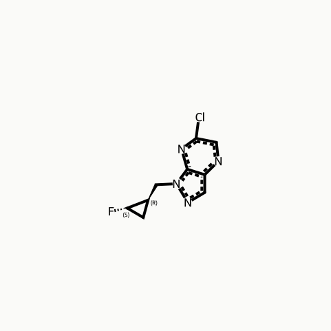 F[C@H]1C[C@@H]1Cn1ncc2ncc(Cl)nc21